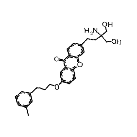 Cc1cccc(CCCOc2ccc3oc4cc(CCC(N)(CO)CO)ccc4c(=O)c3c2)c1